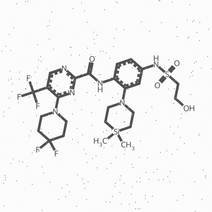 C[Si]1(C)CCN(c2cc(NS(=O)(=O)CCO)ccc2NC(=O)c2ncc(C(F)(F)F)c(N3CCC(F)(F)CC3)n2)CC1